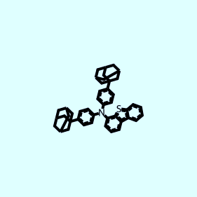 c1ccc2c(c1)sc1c(N(c3ccc(C45CC6CC(CC(C6)C4)C5)cc3)c3ccc(C45CC6CC(CC(C6)C4)C5)cc3)cccc12